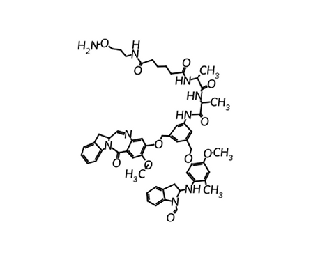 COc1cc2c(cc1OCc1cc(COc3cc(NC4Cc5ccccc5N4C=O)c(C)cc3OC)cc(NC(=O)C(C)NC(=O)[C@H](C)NC(=O)CCCCC(=O)NCCCON)c1)N=CC1Cc3ccccc3N1C2=O